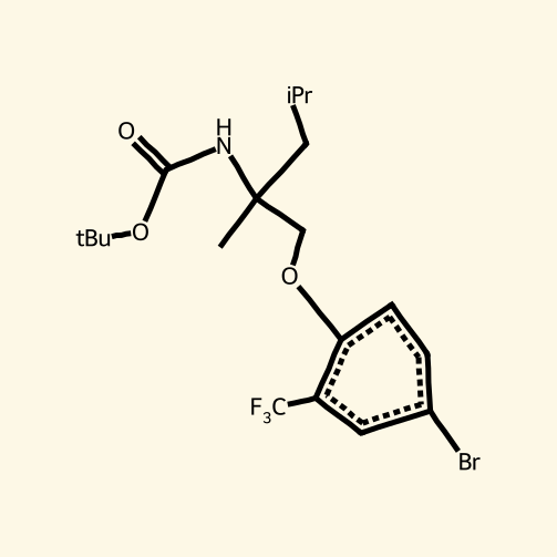 CC(C)CC(C)(COc1ccc(Br)cc1C(F)(F)F)NC(=O)OC(C)(C)C